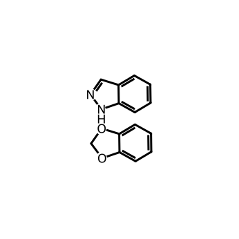 c1ccc2[nH]ncc2c1.c1ccc2c(c1)OCO2